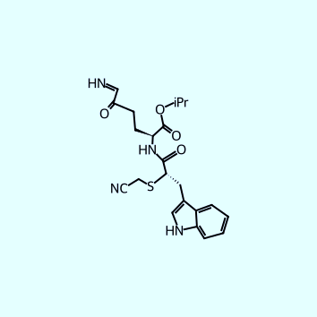 CC(C)OC(=O)[C@H](CCC(=O)C=N)NC(=O)[C@H](Cc1c[nH]c2ccccc12)SCC#N